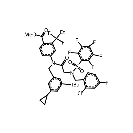 CCC(F)(F)c1cc(N(Cc2cc(C3CC3)cc(C(C)(C)C)c2)C(=O)CN(Cc2ccc(F)cc2Cl)S(=O)(=O)c2c(F)c(F)c(F)c(F)c2F)ccc1C(=O)OC